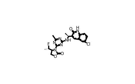 Cc1nc(N[C@@H](C)c2cc3cc(Cl)ccc3[nH]c2=O)nc(N2C(=O)OCC2[C@H](C)F)n1